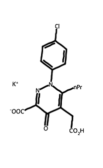 CCCc1c(CC(=O)O)c(=O)c(C(=O)[O-])nn1-c1ccc(Cl)cc1.[K+]